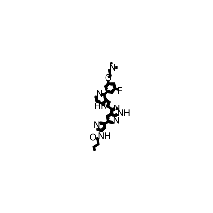 CCCC(=O)Nc1cncc(-c2cnc3[nH]nc(-c4cc5c(-c6cc(F)cc(OCCN(C)C)c6)nccc5[nH]4)c3c2)c1